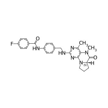 Cc1nc(NCc2ccc(NC(=O)c3ccc(F)cc3)cc2)nc2c1N(C)C(=O)[C@@H]1CCCN21